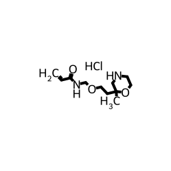 C=CC(=O)NCOCCC1(C)CNCCO1.Cl